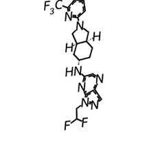 FC(F)Cn1ncc2ncc(N[C@H]3CC[C@@H]4CN(c5cccc(C(F)(F)F)n5)C[C@@H]4C3)nc21